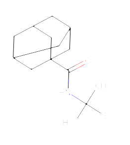 CC(C)(C)NC(=O)C12CC3CC(CC(C3)C1)C2